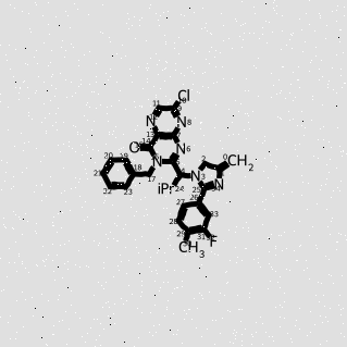 C=C1CN(C(c2nc3nc(Cl)cnc3c(=O)n2Cc2ccccc2)C(C)C)C(c2ccc(C)c(F)c2)=N1